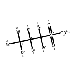 [CH2]OS(=O)(=O)C(Br)(Br)C(Br)(Br)C(Br)(Br)Br